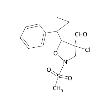 CS(=O)(=O)N1CC(Cl)(C=O)C(C2(c3ccccc3)CC2)O1